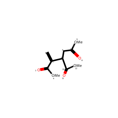 C=C(C(=O)OC)C(CC(=O)OC)C(=O)OC